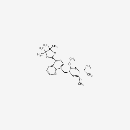 COC1=N[C@H](C(C)C)C(OC)=N[C@H]1Cc1ccc(B2OC(C)(C)C(C)(C)O2)c2cccnc12